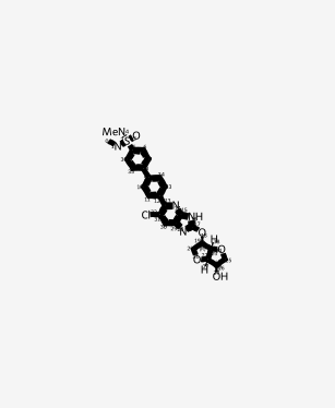 CN=S(=O)(NC)c1ccc(-c2ccc(-c3nc4[nH]c(O[C@@H]5CO[C@H]6[C@@H]5OC[C@H]6O)nc4cc3Cl)cc2)cc1